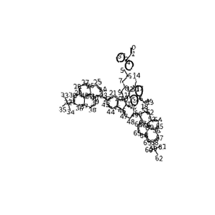 C=CC(=O)OCCCCCC1(C(CCC)OC(=O)C=C)c2cc(-c3ccc4ccc5cc(C(C)(C)C)cc6ccc3c4c56)ccc2-c2ccc(-c3ccc4ccc5cc(C(C)(C)C)cc6ccc3c4c56)cc21